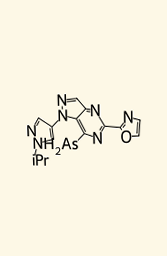 CC(C)n1cc(-n2ncc3nc(-c4ncco4)nc([AsH2])c32)cn1